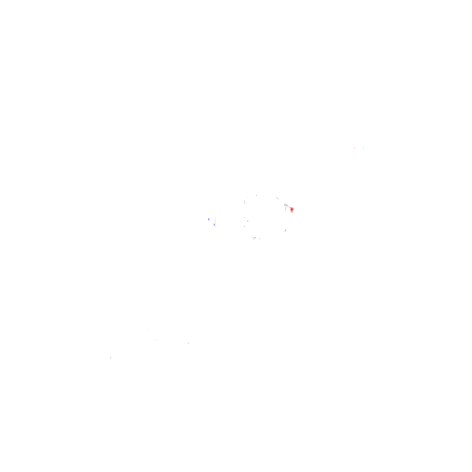 c1ccc(-c2ccc(N(c3ccc(-c4cccc5oc6ccc7ccc8oc9ccccc9c8c7c6c45)cc3)c3ccc(C4C5CC6CC(C5)CC4C6)cc3)cc2)cc1